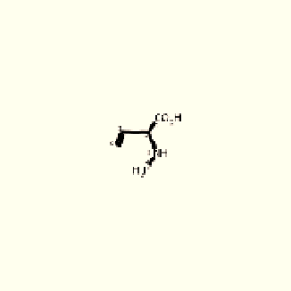 C=CC(NP)C(=O)O